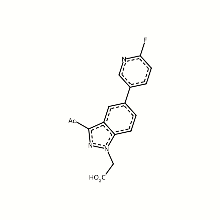 CC(=O)c1nn(CC(=O)O)c2ccc(-c3ccc(F)nc3)cc12